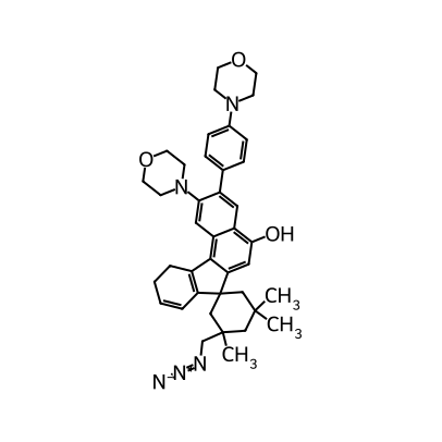 CC1(C)CC(C)(CN=[N+]=[N-])CC2(C1)C1=C(CCC=C1)c1c2cc(O)c2cc(-c3ccc(N4CCOCC4)cc3)c(N3CCOCC3)cc12